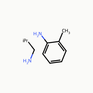 CC(C)CN.Cc1ccccc1N